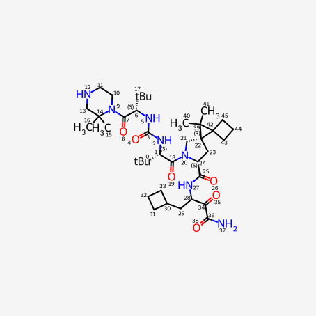 CC(C)(C)[C@H](NC(=O)N[C@H](C(=O)N1CCNCC1(C)C)C(C)(C)C)C(=O)N1C[C@]2(C[C@H]1C(=O)NC(CC1CCC1)C(=O)C(N)=O)C(C)(C)C21CCC1